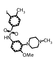 COc1ccc(NS(=O)(=O)c2ccc(C)c(I)c2)cc1N1CCN(C)CC1